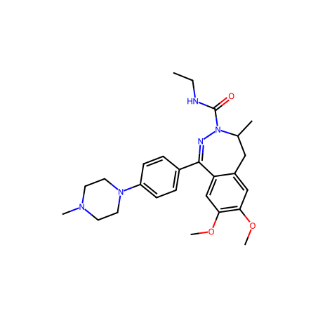 CCNC(=O)N1N=C(c2ccc(N3CCN(C)CC3)cc2)c2cc(OC)c(OC)cc2CC1C